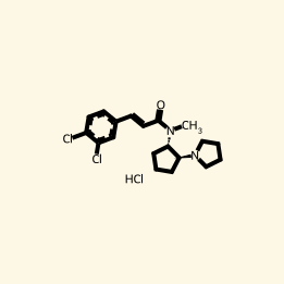 CN(C(=O)C=Cc1ccc(Cl)c(Cl)c1)[C@H]1CCC[C@@H]1N1CCCC1.Cl